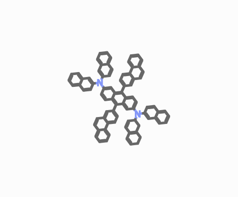 C1=CC2=C(CC1)CC(N(c1ccc3ccccc3c1)c1ccc3c(-c4ccc5c(ccc6ccccc65)c4)c4cc(N(c5ccc6ccccc6c5)c5ccc6ccccc6c5)ccc4c(-c4ccc5c(ccc6ccccc65)c4)c3c1)C=C2